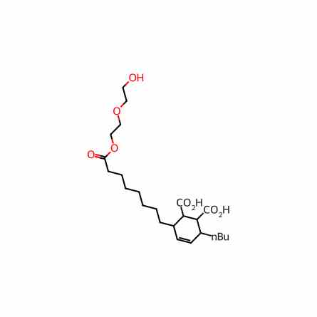 CCCCC1C=CC(CCCCCCCC(=O)OCCOCCO)C(C(=O)O)C1C(=O)O